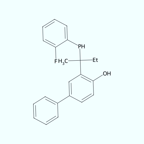 CCC(C)(Pc1ccccc1F)c1cc(-c2ccccc2)ccc1O